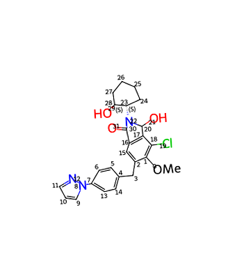 COc1c(Cc2ccc(-n3cccn3)cc2)cc2c(c1Cl)C(O)N([C@H]1CCCC[C@@H]1O)C2=O